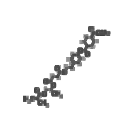 C=C(C)C(=O)OCC(C)OC(=O)CCC(=O)OCCc1ccc(OC(=O)C2CCC(C(=O)OC)CC2)cc1